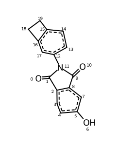 O=C1c2ccc(O)cc2C(=O)N1c1ccc2c(c1)CC2